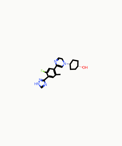 Cc1cc(-c2nc[nH]n2)c(F)cc1C1=CN([C@H]2CC[C@@H](O)CC2)CC=N1